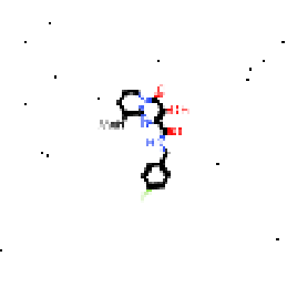 CNC1CCCn2c1nc(C(=O)NCc1ccc(F)cc1)c(O)c2=O